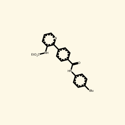 CCOC(=O)Nc1cccnc1-c1ccc(C(=O)Nc2ccc(C(C)(C)C)cc2)cc1